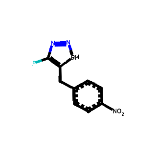 O=[N+]([O-])c1ccc(CC2=C(F)N=NB2)cc1